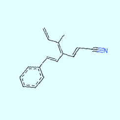 C=CC(C)=C(C=CC#N)C=Cc1ccccc1